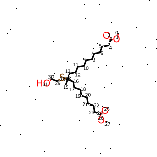 COC(=O)CCCCCCCCCCC(C)(CCCCCCCCC(=O)OC)SCCO